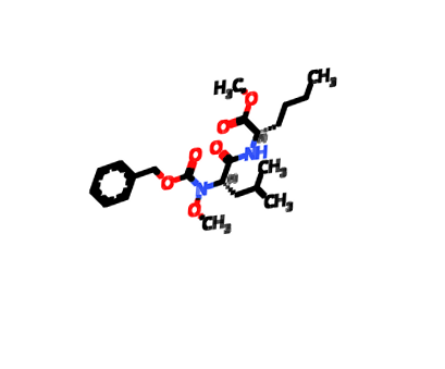 CCCC[C@H](NC(=O)[C@H](CC(C)C)N(OC)C(=O)OCc1ccccc1)C(=O)OC